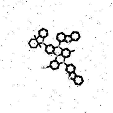 Cc1cc2c3c(c1)N(c1cccc4c1sc1ccccc14)c1cc(N4c5ccccc5C5(C)CCCCC45C)ccc1B3c1cc(C(C)(C)C)ccc1N2c1ccc2c(c1)oc1ccccc12